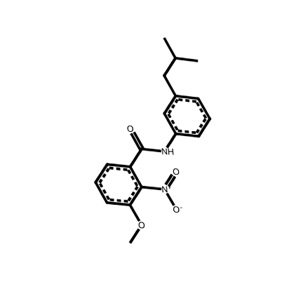 COc1cccc(C(=O)Nc2cccc(CC(C)C)c2)c1[N+](=O)[O-]